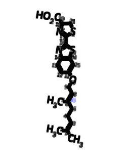 CC(C)=CCC/C(C)=C/COc1ccc2nc(C3=NC(C(=O)O)CS3)sc2c1